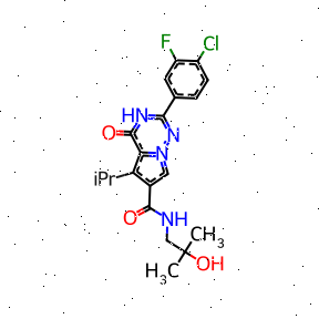 CC(C)c1c(C(=O)NCC(C)(C)O)cn2nc(-c3ccc(Cl)c(F)c3)[nH]c(=O)c12